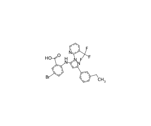 CCc1cccc(-c2cc(Nc3ccc(Br)cc3C(=O)O)n(-c3ncccc3C(F)(F)F)n2)c1